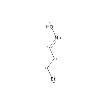 [CH2]CCC/C=N/O